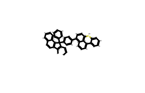 C/C=C\C1=C(C)c2ccc3ccccc3c2C1(c1ccccc1)c1ccc(-c2ccc3c4c(cccc24)-c2ccccc2S3)cc1